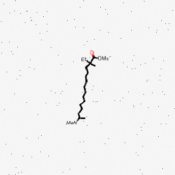 CCC(C)(CCCCCCCCCCCC(C)NC)C(=O)OC